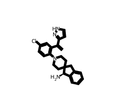 C=C(c1cc[nH]n1)c1cc(Cl)ccc1N1CCC2(CC1)Cc1ccccc1[C@H]2N